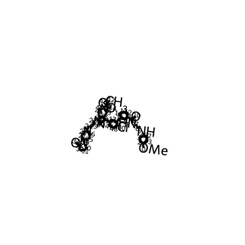 COc1ccc(NCCNC(=O)c2cccc(-c3cc(-c4nn(CCCN5CCC(N6CCCC6=O)CC5)c5c4CN(S(C)(=O)=O)CC5)ccc3Cl)c2)cc1